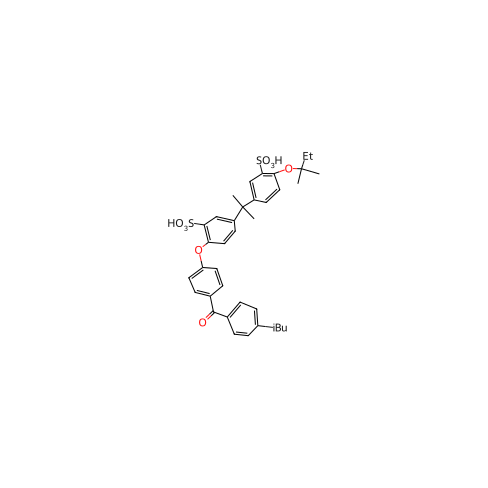 CCC(C)c1ccc(C(=O)c2ccc(Oc3ccc(C(C)(C)c4ccc(OC(C)(C)CC)c(S(=O)(=O)O)c4)cc3S(=O)(=O)O)cc2)cc1